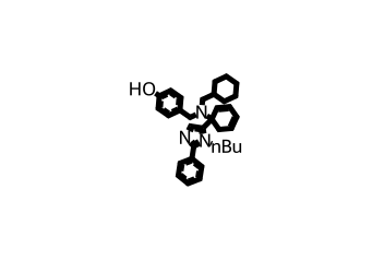 CCCCn1c(C2(N(Cc3ccc(O)cc3)CC3CCCCC3)C=CC=CC2)cnc1-c1ccccc1